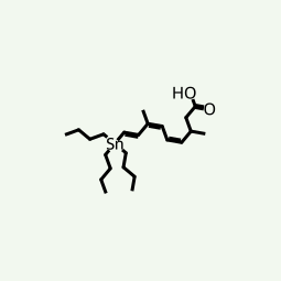 CCC[CH2][Sn](/[CH]=C/C(C)=C\C=C/C(C)CC(=O)O)([CH2]CCC)[CH2]CCC